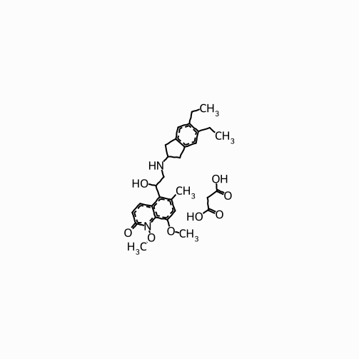 CCc1cc2c(cc1CC)CC(NCC(O)c1c(C)cc(OC)c3c1ccc(=O)n3OC)C2.O=C(O)CC(=O)O